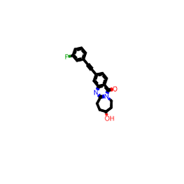 O=c1c2ccc(C#Cc3cccc(F)c3)cc2nc2n1CCC(O)CC2